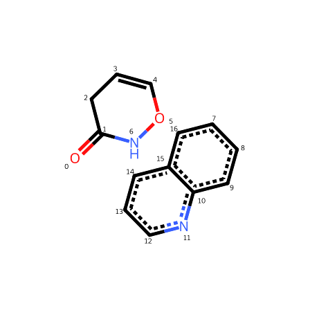 O=C1CC=CON1.c1ccc2ncccc2c1